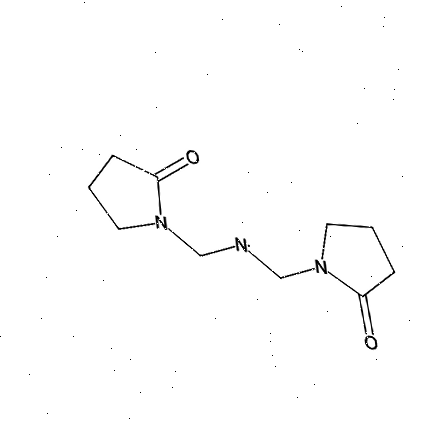 O=C1CCCN1C[N]CN1CCCC1=O